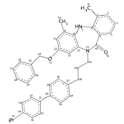 Cc1cccc2c1Nc1c(C)cc(OCc3ccccc3)cc1N(CCCc1ccc(-c3ccc(C(C)C)cc3)cc1)C2=O